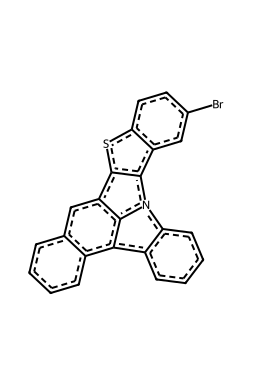 Brc1ccc2sc3c4cc5ccccc5c5c6ccccc6n(c3c2c1)c45